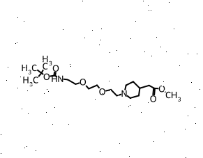 COC(=O)CC1CCN(CCOCCOCCNC(=O)OC(C)(C)C)CC1